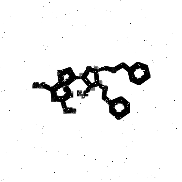 CSc1nc(SC)c2ncc([C@@H]3O[C@H](COCc4ccccc4)[C@@H](OCc4ccccc4)[C@H]3C)n2n1